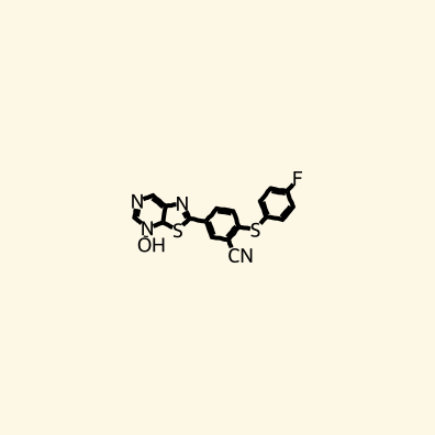 N#Cc1cc(C2=NC3=CN=CN(O)C3S2)ccc1Sc1ccc(F)cc1